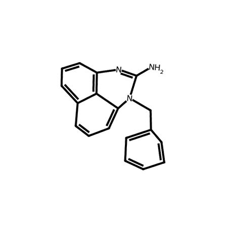 NC1=Nc2cccc3cccc(c23)N1Cc1ccccc1